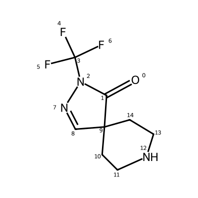 O=C1N(C(F)(F)F)N=CC12CCNCC2